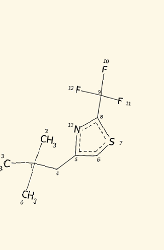 CC(C)(C)Cc1csc(C(F)(F)F)n1